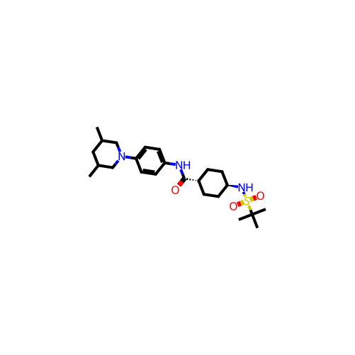 CC1CC(C)CN(c2ccc(NC(=O)[C@H]3CC[C@H](NS(=O)(=O)C(C)(C)C)CC3)cc2)C1